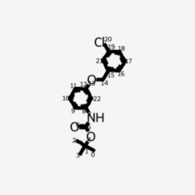 CC(C)(C)OC(=O)Nc1cccc(OCc2cccc(Cl)c2)c1